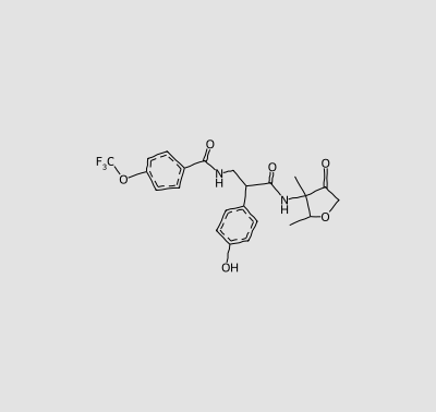 CC1OCC(=O)C1(C)NC(=O)C(CNC(=O)c1ccc(OC(F)(F)F)cc1)c1ccc(O)cc1